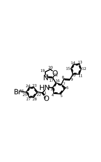 O=C(Nc1cccc(/C=C/c2ccccc2)c1C1=NCCO1)c1ccc(Br)cc1